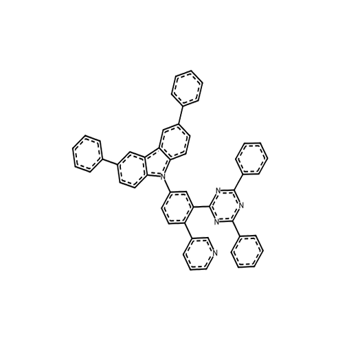 c1ccc(-c2ccc3c(c2)c2cc(-c4ccccc4)ccc2n3-c2ccc(-c3cccnc3)c(-c3nc(-c4ccccc4)nc(-c4ccccc4)n3)c2)cc1